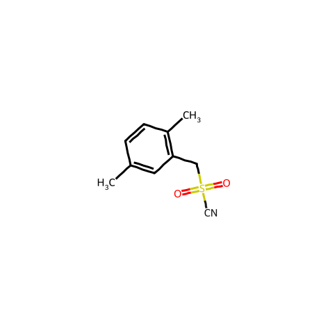 Cc1ccc(C)c(CS(=O)(=O)C#N)c1